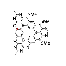 CSN1c2cc3c(cc2B2c4ccccc4Oc4nc(C)nc1c42)B1c2cc4c(cc2N(SC)c2nc(C)nc(c21)N3SC)Nc1nc(C)nc2c1B4c1ccccc1O2